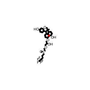 CC1(c2ccc(O)cc2)COc2cc(O)ccc2C1c1ccc(OC[C@H](O)COCC[S+]([O-])CCCC(F)(F)C(F)(F)F)cc1